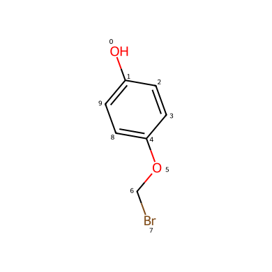 Oc1ccc(OCBr)cc1